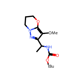 COc1c(C(C)NC(=O)OC(C)(C)C)nn2c1OCCC2